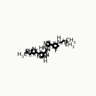 CN(C)CCNc1cc(F)cc(-c2ccnc3[nH]c(-c4n[nH]c5cnc(-c6cncc(CN(C)C)c6)cc45)nc23)c1